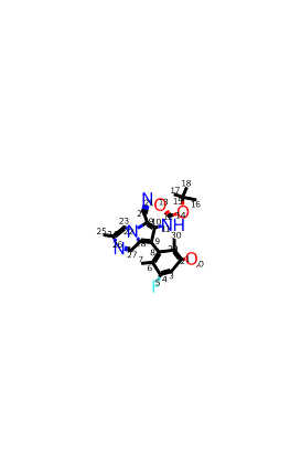 COc1cc(F)c(C)c(-c2c(NC(=O)OC(C)(C)C)c(C#N)n3cc(C)ncc23)c1C